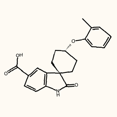 Cc1ccccc1O[C@H]1CC[C@@]2(CC1)C(=O)Nc1ccc(C(=O)O)cc12